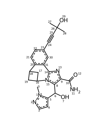 Cn1nccc1C(O)c1c(C(N)=O)nc2n1C1CC(C1)c1ccc(C#CC(C)(C)O)cc1-2